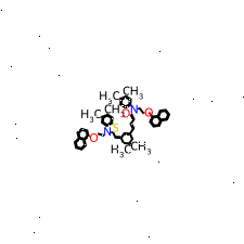 Cc1cc2c(cc1C)N(CCOc1cccc3ccccc13)C(=CC=CC1=C/C(=C\C3Sc4cc(C)c(C)cc4N3CCOc3cccc4ccccc34)CC(C)(C)C1)O2